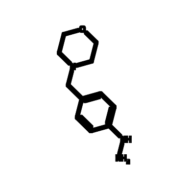 NNc1ccc(CN2CCOCC2)cc1